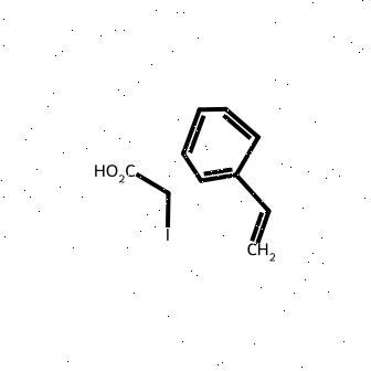 C=Cc1ccccc1.O=C(O)CI